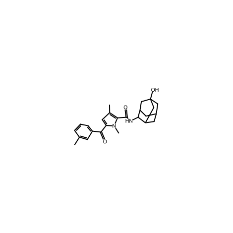 Cc1cccc(C(=O)c2cc(C)c(C(=O)NC3C4CC5CC3CC(O)(C5)C4)n2C)c1